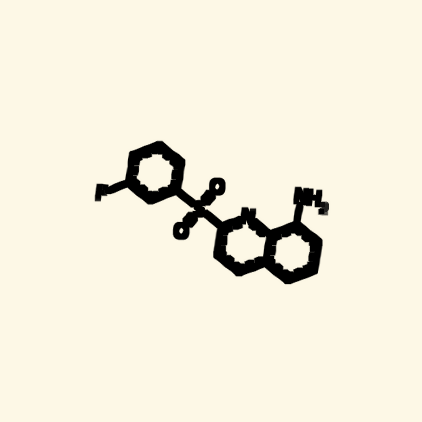 Nc1cccc2ccc(S(=O)(=O)c3cccc(F)c3)nc12